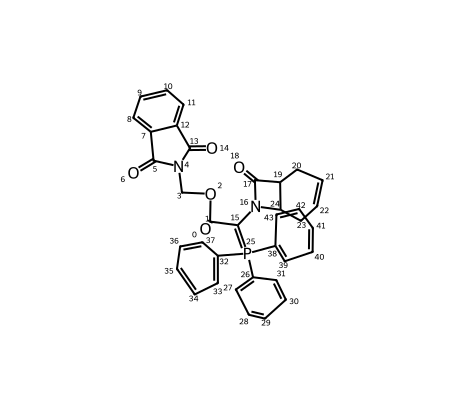 O=C(OCN1C(=O)c2ccccc2C1=O)C(N1C(=O)C2CC=CCC21)=P(c1ccccc1)(c1ccccc1)c1ccccc1